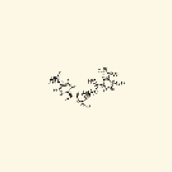 CNc1ccc(N(C)CCC(C)NCC(O)c2ccc(O)c(C(N)=O)c2)cc1